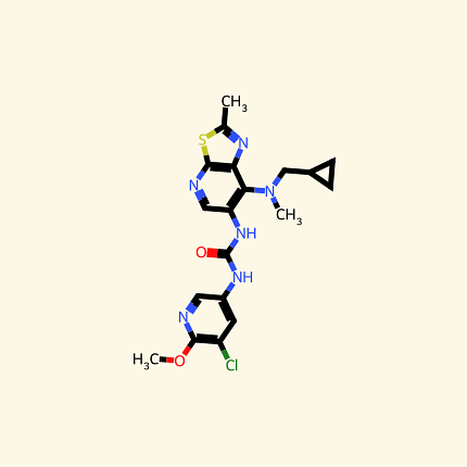 COc1ncc(NC(=O)Nc2cnc3sc(C)nc3c2N(C)CC2CC2)cc1Cl